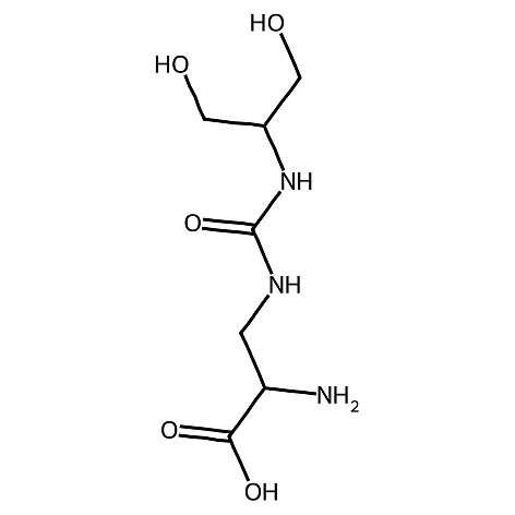 NC(CNC(=O)NC(CO)CO)C(=O)O